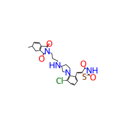 CC1C=CC2=C(C1)C(=O)N(CCCN[C@H]1CCN(c3c(Cl)cccc3/C=C3\SC(=O)NC3=O)C1)C2=O